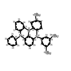 CC(C)(C)c1cc(N2c3ccc(C(C)(C)C)cc3B3c4ccccc4N(c4ccccc4)c4cccc2c43)cc(C(C)(C)C)c1